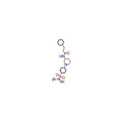 CC(C)N(C(C)C)S(=O)(=O)c1ccc(N2CCCC(NC(=O)CCc3ccccc3)C2)cc1